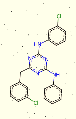 Clc1cccc(Cc2nc(Nc3ccccc3)nc(Nc3cccc(Cl)c3)n2)c1